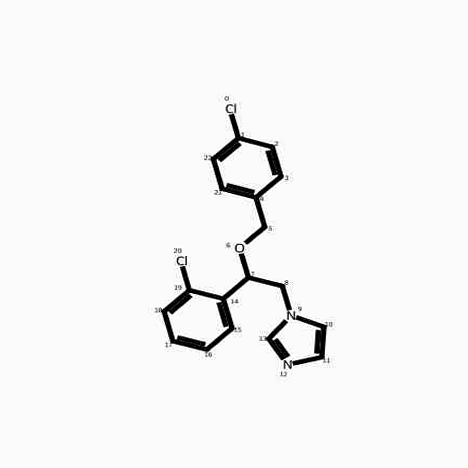 Clc1ccc(COC(Cn2ccnc2)c2ccccc2Cl)cc1